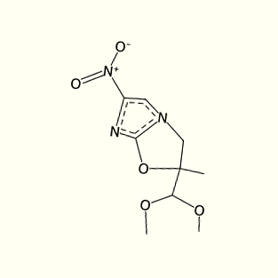 COC(OC)C1(C)Cn2cc([N+](=O)[O-])nc2O1